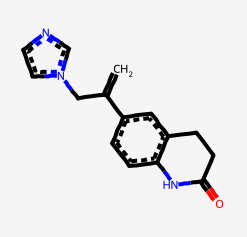 C=C(Cn1ccnc1)c1ccc2c(c1)CCC(=O)N2